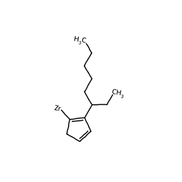 CCCCCC(CC)C1=[C]([Zr])CC=C1